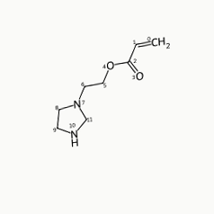 C=CC(=O)OCCN1CCNC1